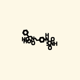 O=C1NC(=O)C(Nc2ccc(CCN(C[C@@H](O)c3ccccc3)C(=O)O)cc2)S1